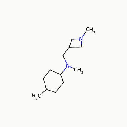 CC1CCC(N(C)CC2CN(C)C2)CC1